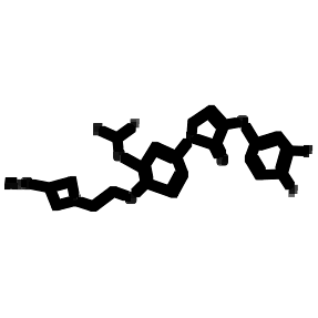 COC1CN(CCOc2ccc(N3CC=C(Oc4ccc(F)c(F)c4)C3=O)cc2OC(F)F)C1